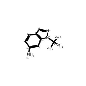 [2H]C([2H])([2H])n1ncc2ccc(N)cc21